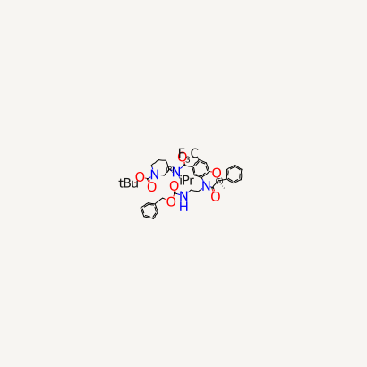 CC(C)N(C(=O)c1cc2c(cc1C(F)(F)F)O[C@@](C)(c1ccccc1)C(=O)N2CCNC(=O)OCc1ccccc1)[C@@H]1CCCN(C(=O)OC(C)(C)C)C1